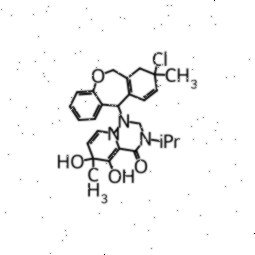 CC(C)N1CN(C2C3=C(COc4ccccc42)CC(C)(Cl)C=C3)N2C=CC(C)(O)C(O)=C2C1=O